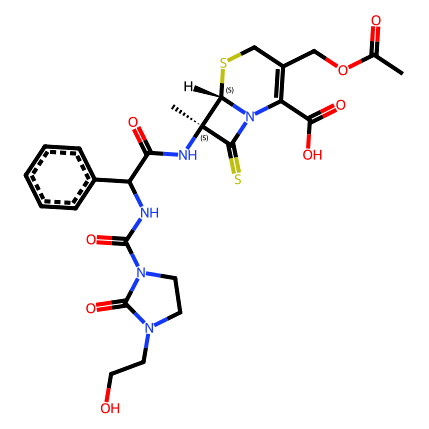 CC(=O)OCC1=C(C(=O)O)N2C(=S)[C@@](C)(NC(=O)C(NC(=O)N3CCN(CCO)C3=O)c3ccccc3)[C@@H]2SC1